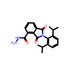 CC(C)c1cccc(C(C)C)c1N1C(=O)c2cccc(C(=O)NN)c2C1=O